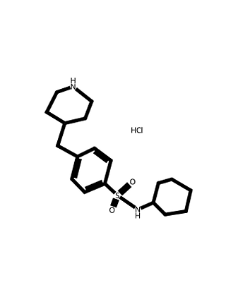 Cl.O=S(=O)(NC1CCCCC1)c1ccc(CC2CCNCC2)cc1